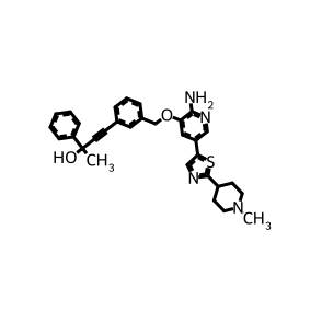 CN1CCC(c2ncc(-c3cnc(N)c(OCc4cccc(C#CC(C)(O)c5ccccc5)c4)c3)s2)CC1